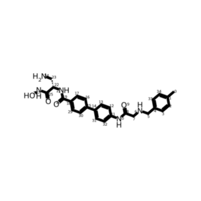 Cc1ccc(CNCC(=O)Nc2ccc(-c3ccc(C(=O)N[C@@H](CN)C(=O)NO)cc3)cc2)cc1